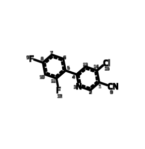 N#Cc1cnc(-c2ccc(F)cc2F)cc1Cl